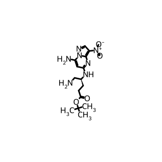 CC(C)(C)OC(=O)CC[C@@H](CN)Nc1cc(N)n2ncc([N+](=O)[O-])c2n1